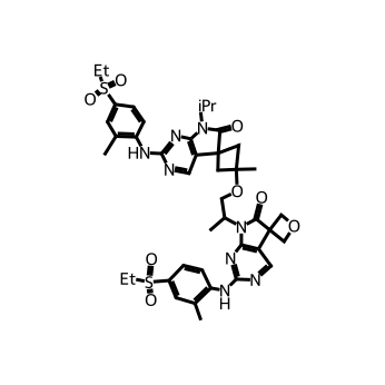 CCS(=O)(=O)c1ccc(Nc2ncc3c(n2)N(C(C)C)C(=O)C32CC(C)(OCC(C)N3C(=O)C4(COC4)c4cnc(Nc5ccc(S(=O)(=O)CC)cc5C)nc43)C2)c(C)c1